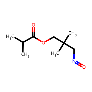 CC(C)C(=O)OCC(C)(C)CN=O